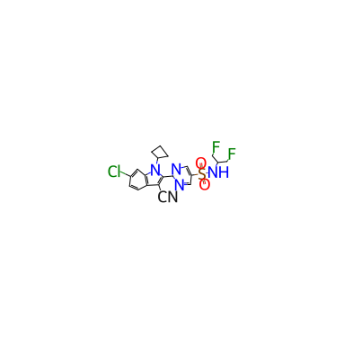 N#Cc1c(-c2ncc(S(=O)(=O)NC(CF)CF)cn2)n(C2CCC2)c2cc(Cl)ccc12